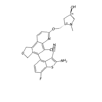 CN1C[C@H](O)C[C@H]1COc1ccc2c3c(c(-c4ccc(F)c5sc(N)c(C#N)c45)c(Cl)c2n1)COC3